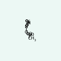 CCc1cc(=O)oc2cc(OCCCCN3CCN(c4nsc5ccccc45)CC3)ccc12